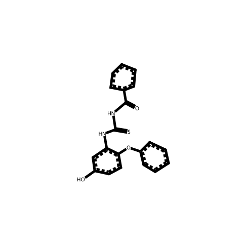 O=C(NC(=S)Nc1cc(O)ccc1Oc1ccccc1)c1ccccc1